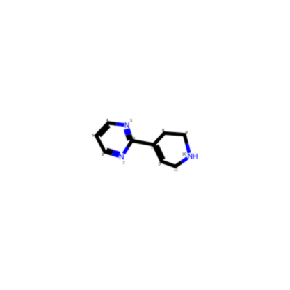 C1=C(c2ncccn2)CCNC1